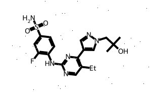 CCc1cnc(Nc2ccc(S(N)(=O)=O)cc2F)nc1-c1cnn(CC(C)(C)O)c1